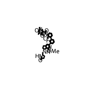 COc1nc(-c2cccc(-c3cccc(NC(=O)c4cn(C)c(=O)n(C)c4=O)c3Cl)c2F)cc2c1C(NCC1CCC(=O)N1)CC2